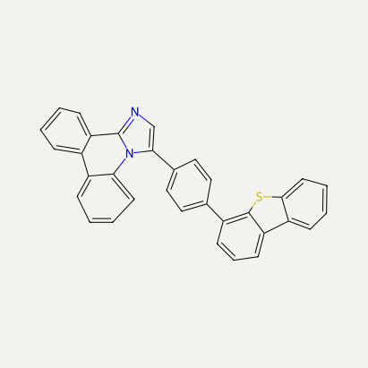 c1ccc2c(c1)sc1c(-c3ccc(-c4cnc5c6ccccc6c6ccccc6n45)cc3)cccc12